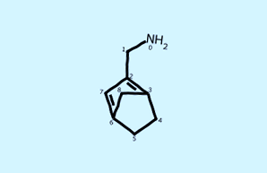 NCC1=C2CCC(=C1)C2